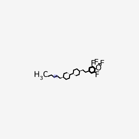 CCC/C=C/C[C@H]1CC[C@H]([C@H]2CC[C@H](CCc3cc(F)c(OC(F)F)c(F)c3)CC2)CC1